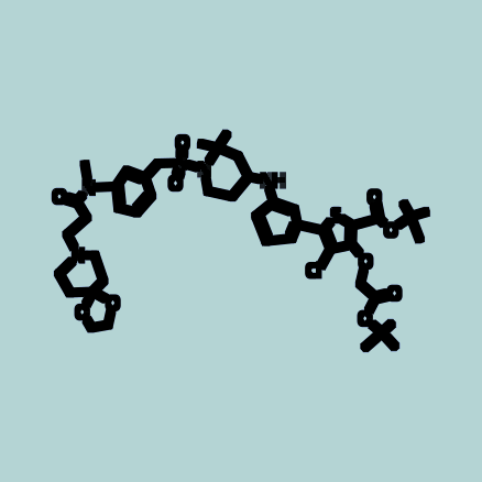 CN(C(=O)CCN1CCC2(CC1)OCCO2)c1cccc(CS(=O)(=O)N2CCC(Nc3cccc(-c4sc(C(=O)OC(C)(C)C)c(OCC(=O)OC(C)(C)C)c4Cl)c3)CC2(C)C)c1